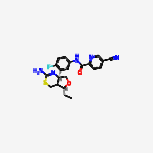 CC[C@H]1OC[C@]2(c3cc(NC(=O)c4ccc(C#N)cn4)ccc3F)N=C(N)SCC12